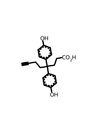 C#CCCC(CCC(=O)O)(c1ccc(O)cc1)c1ccc(O)cc1